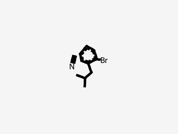 C#N.CC(C)Cc1ccccc1Br